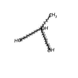 CCCCCCCCCCCC(O)(CCCCCCCCCCCCCCCCO)CCCCCCCCCCCCCCCCCCO